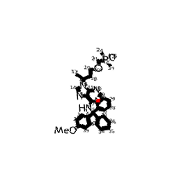 COc1ccc(C(Nc2ncnc3c2ncn3C(C)CCOCP(C)(C)=O)(c2ccccc2)c2ccccc2)cc1